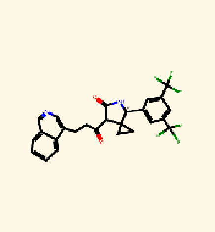 O=C(CCc1cncc2ccccc12)C1C(=O)N[C@@H](c2cc(C(F)(F)F)cc(C(F)(F)F)c2)C12CC2